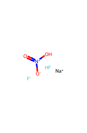 F.O=[N+]([O-])O.[F-].[Na+]